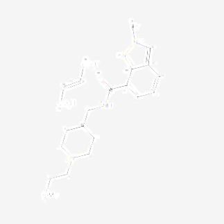 COCCN1CCC(CNC(=O)c2cccc3cn(C(C)C)nc23)CC1.O=C(O)/C=C/C(=O)O